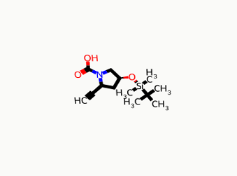 C#CC1C[C@H](O[Si](C)(C)C(C)(C)C)CN1C(=O)O